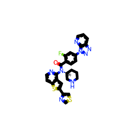 O=C(c1ccc(-n2nnc3cccnc32)cc1F)N(c1nccc2sc(-c3cscn3)cc12)[C@@H]1CCCNC1